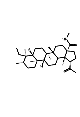 C=C(C)[C@@H]1CC[C@]2(C(=C)NC)CC[C@]3(C)C(CC[C@@H]4[C@@]5(C)CC[C@H](C)[C@@](C)(CC)[C@@H]5CC[C@]43C)[C@@H]12